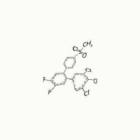 CS(=O)(=O)c1ccc(-c2cc(F)c(F)cc2-c2cc(Cl)c(Cl)c(Cl)c2)cc1